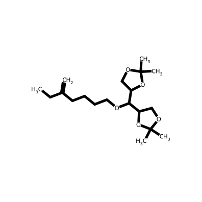 C=C(CC)CCCCOC(C1COC(C)(C)O1)C1COC(C)(C)O1